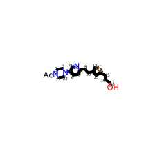 CC(=O)N1CCN(c2ccc(CCc3csc(CCCO)c3)nc2)CC1